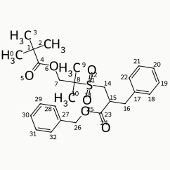 CC(C)(C)C(=O)OCC(C)(C)S(=O)(=O)CC(Cc1ccccc1)C(=O)OCc1ccccc1